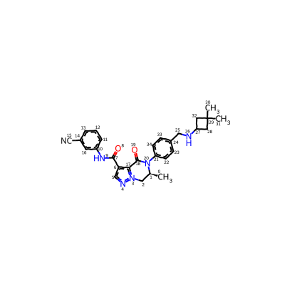 C[C@H]1Cn2ncc(C(=O)Nc3cccc(C#N)c3)c2C(=O)N1c1ccc(CNC2CC(C)(C)C2)cc1